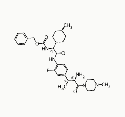 C[C@@H](c1ccc(NC(=O)[C@@H](NC(=O)OCc2ccccc2)[C@H]2CC[C@H](C)CC2)c(F)c1)[C@@H](N)C(=O)N1CCN(C)CC1